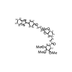 COc1ccc(C=CC(=O)c2cc(OC)c(OC)c(OC)c2)cc1OCCCCOc1ccc(-c2nc3ccccc3s2)cc1